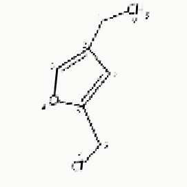 CCc1coc(CCl)c1